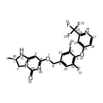 C[C@@H]1Cn2c(cc(OCc3cc(F)c(Oc4ccnc(C(F)(F)F)c4)c(F)c3)nc2=O)N1